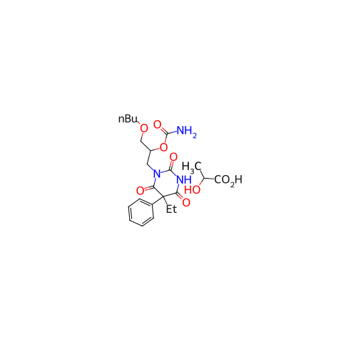 CC(O)C(=O)O.CCCCOCC(CN1C(=O)NC(=O)C(CC)(c2ccccc2)C1=O)OC(N)=O